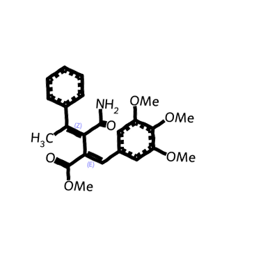 COC(=O)C(=C/c1cc(OC)c(OC)c(OC)c1)/C(C(N)=O)=C(\C)c1ccccc1